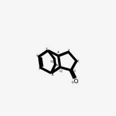 O=C1CCC2C3C=CC(CC3)C12